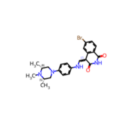 C[C@@H]1CN(c2ccc(N/C=C3\C(=O)NC(=O)c4ccc(Br)cc43)cc2)C[C@H](C)N1C